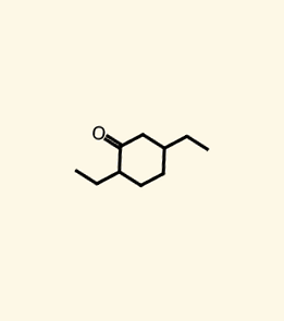 CCC1CCC(CC)C(=O)C1